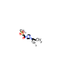 CCCC(C)N1CCN(C(=O)CCS(C)(=O)=O)CC1